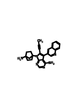 CC#Cc1c(-c2cnc3ccccc3c2)c2c(N)ncnc2n1C12CCC(N)(CC1)C2